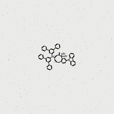 C=C1/C=C(N(c2cc(-c3ccccc3)cc(-c3ccccc3)c2)c2cc(-c3ccccc3)cc(-c3ccccc3)c2)\C=C/Cc2ccc(-n3c4ccccc4c4ccccc43)cc2C1(CCC)CCC